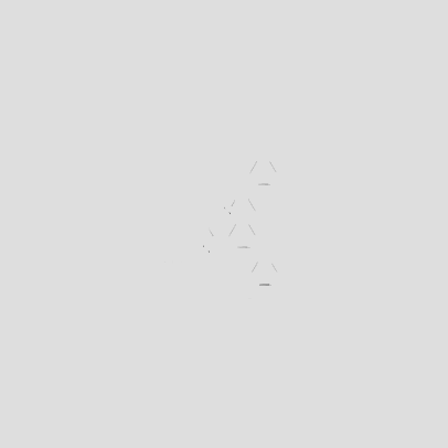 CCOC(=O)CNC(=O)c1c(O)c(-c2cc(F)cc(F)c2)cc2cc(-c3cc(F)cc(F)c3)cnc12